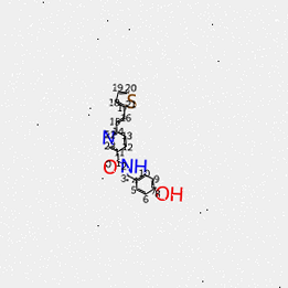 O=C(N[CH]c1ccc(O)cc1)c1ccc(C=Cc2cccs2)nc1